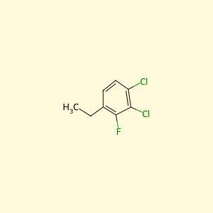 CCc1ccc(Cl)c(Cl)c1F